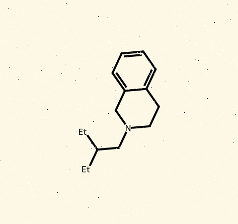 CCC(CC)CN1CCc2ccccc2C1